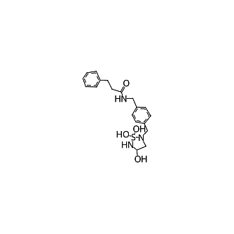 O=C(CCc1ccccc1)NCc1ccc(CN2CC(O)NS2(O)O)cc1